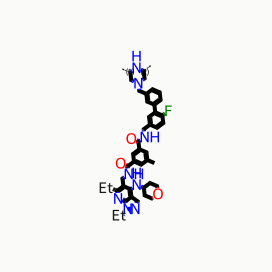 CCc1nc2c(cnn2CC)c(NC2CCOCC2)c1CNC(=O)c1cc(C)cc(C(=O)NCc2ccc(F)c(-c3cccc(CN4C[C@@H](C)N[C@@H](C)C4)c3)c2)c1